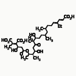 CCC(/C=C/C(=O)O)=C\CC[C@H](C)C[C@@H](C)CC[C@H](O)[C@H](C)C(=O)C[C@@H](O)[C@H](C)[C@@H](C)OC(=O)C[C@@H](O)/C(C(=O)O)=C(\C)C(=O)O